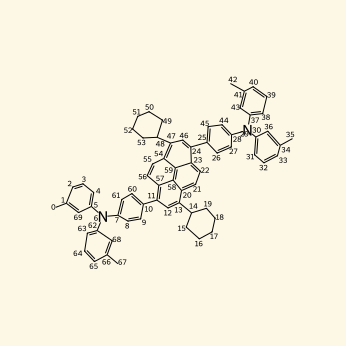 Cc1cccc(N(c2ccc(-c3cc(C4CCCCC4)c4ccc5c(-c6ccc(N(c7cccc(C)c7)c7cccc(C)c7)cc6)cc(C6CCCCC6)c6ccc3c4c56)cc2)c2cccc(C)c2)c1